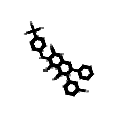 O=c1oc2cc(-c3ccccc3)n(-c3cccc(F)c3)c(=O)c2c(O)c1Sc1ccc(C(F)(F)F)cc1